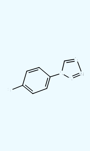 CC(C)c1ccc(-n2cnnn2)cc1